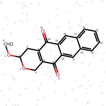 O=COC1CC2=C(CO1)C(=O)c1cc3ccccc3cc1C2=O